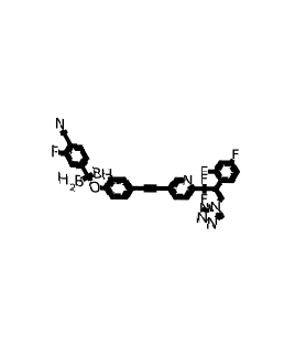 BC(B)(Oc1ccc(C#Cc2ccc(C(F)(F)C(Cn3cnnn3)c3ccc(F)cc3F)nc2)cc1)c1ccc(C#N)c(F)c1